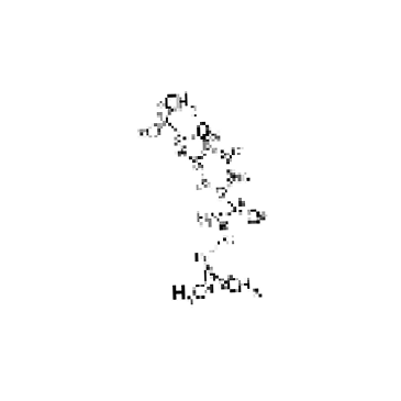 CC(=O)c1cc2cc(C(=O)NCCN(C)C)ccc2o1